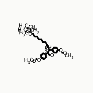 COCOc1ccc(C2(SC)COc3cc(OCOC)ccc3C2C#CCCCCCCCO[Si](C)(C)C(C)(C)C)cc1